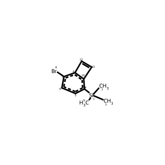 C[Si](C)(C)c1ccc(Br)c2c1C=C2